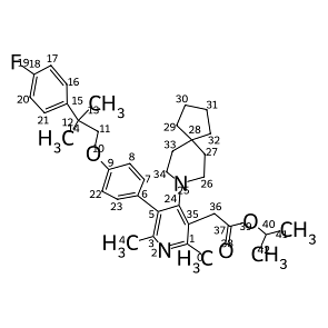 Cc1nc(C)c(-c2ccc(OCC(C)(C)c3ccc(F)cc3)cc2)c(N2CCC3(CCCC3)CC2)c1CC(=O)OC(C)C